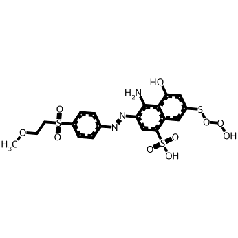 COCCS(=O)(=O)c1ccc(N=Nc2cc(S(=O)(=O)O)c3cc(SOOO)cc(O)c3c2N)cc1